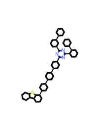 c1ccc(-c2cccc(-c3nc(-c4ccc(-c5ccc(-c6ccc(-c7cccc8c7sc7ccccc78)cc6)cc5)cc4)nc(-c4ccccc4-c4ccccc4)n3)c2)cc1